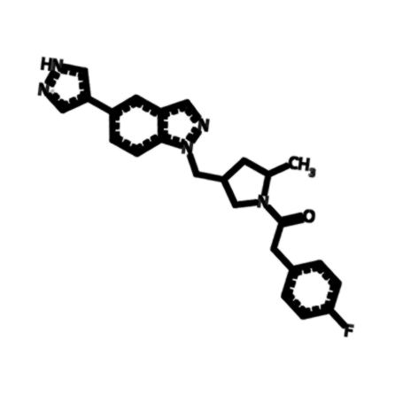 CC1CC(Cn2ncc3cc(-c4cn[nH]c4)ccc32)CN1C(=O)Cc1ccc(F)cc1